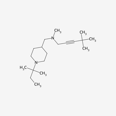 CCC(C)(C)N1CCC(CN(C)CC#CC(C)(C)C)CC1